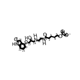 O=C(CCCCO[N+](=O)[O-])NCCNCC(O)COc1cccc2c1CC(=O)N2